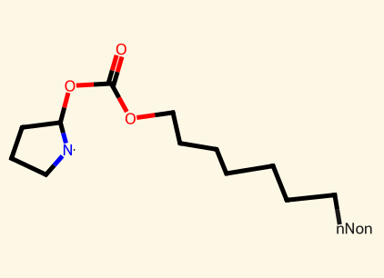 CCCCCCCCCCCCCCCCOC(=O)OC1CCC[N]1